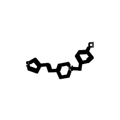 Clc1ccc(CN2CC=C(C=Cc3ccsc3)CC2)cc1